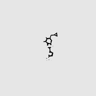 Nc1c(F)c(CC2CC2)cc2[nH]c(-c3ccc(P(=O)(O)O)o3)nc12